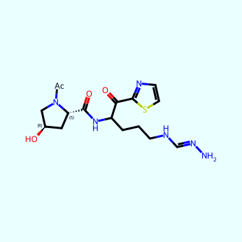 CC(=O)N1C[C@H](O)C[C@H]1C(=O)NC(CCCNC=NN)C(=O)c1nccs1